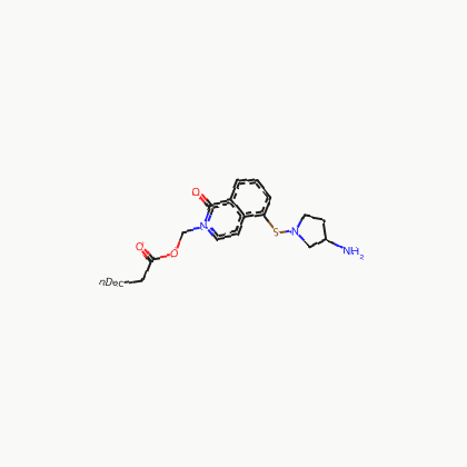 CCCCCCCCCCCC(=O)OCn1ccc2c(SN3CCC(N)C3)cccc2c1=O